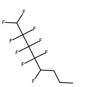 CCCC(F)C(F)(F)C(F)(F)C(F)(F)C(F)F